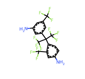 Nc1cc(C(F)(F)F)cc(C(c2ccc(N)cc2C(F)(F)F)(C(F)(F)F)C(F)(F)F)c1